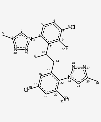 Cc1cn(-c2ccc(Cl)c(F)c2C(C)Cc2cc(Cl)cc(C(C)C)c2-n2cc(C)nn2)nn1